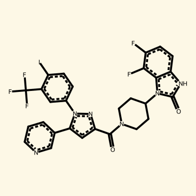 O=C(c1cc(-c2cccnc2)n(-c2ccc(I)c(C(F)(F)F)c2)n1)N1CCC(n2c(=O)[nH]c3ccc(F)c(F)c32)CC1